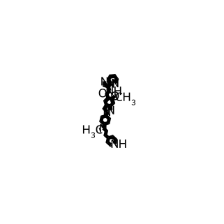 COc1cc2nn(C3CCC(N(C)CCC4CCNCC4)CC3)cc2cc1C(=O)Nc1cnc2cccnn12